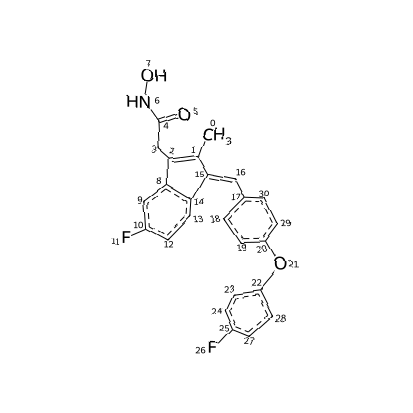 CC1=C(CC(=O)NO)c2cc(F)ccc2/C1=C\c1ccc(Oc2ccc(F)cc2)cc1